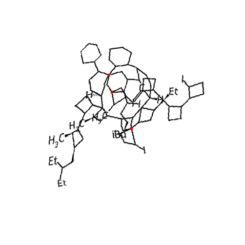 CCC(CC)C[C@@H]1CC(C2CCC2C23C(C[C@H]2C)C2CCC2C2(C(C4CCC4I)CC2[C@](CC)(C2CC/C2=I\C2CCC2C)C2CCC2C2CCC2I)[C@H]2CCC(C(C4CCCCC4C(I)CC[C@H](C)CC)C2)C2CCCCC2C2C[C@@H]3CCC2C2CCCCC2)[C@@H]1C